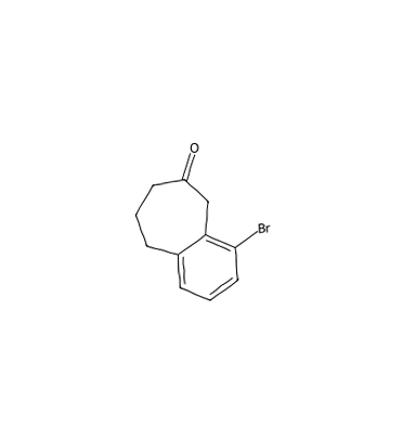 O=C1CCCc2cccc(Br)c2C1